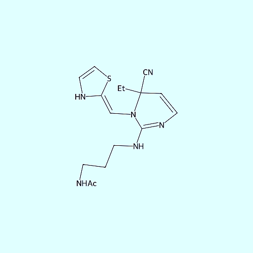 CCC1(C#N)C=CN=C(NCCCNC(C)=O)N1C=C1NC=CS1